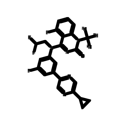 [2H]C([2H])([2H])n1c(=O)nc(N(CC(F)F)c2cc(F)cc(-c3cnc(C4CC4)cn3)c2)c2c(F)cccc21